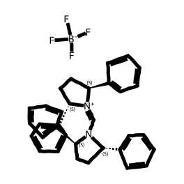 C(N1[C@H](c2ccccc2)CC[C@H]1c1ccccc1)=[N+]1[C@H](c2ccccc2)CC[C@H]1c1ccccc1.F[B-](F)(F)F